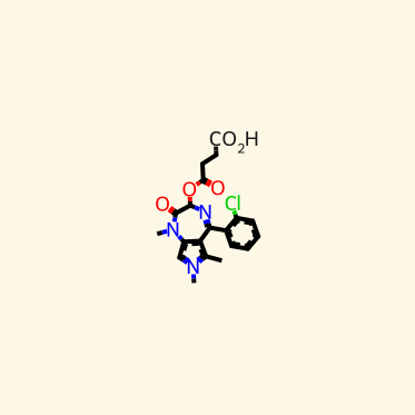 Cc1c2c(cn1C)N(C)C(=O)C(OC(=O)CCC(=O)O)N=C2c1ccccc1Cl